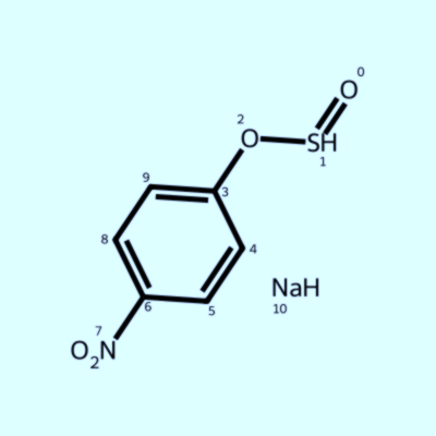 O=[SH]Oc1ccc([N+](=O)[O-])cc1.[NaH]